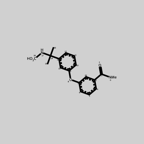 CNC(=O)c1cccc(Oc2cccc(C(C)(C)NC(=O)O)c2)c1